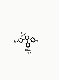 NS(=O)(=O)c1ccc(-c2c(-c3ccc(Br)cc3)c(C(F)(F)F)nn2-c2ccc(Br)cc2)cc1